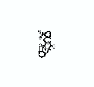 Cc1cccc([N+](=O)[O-])c1C=C1C(=O)NC(C)(Cc2ccccc2)C(=O)N1C